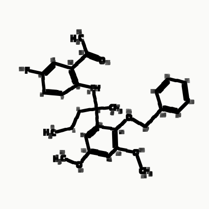 CCCC(C)(Pc1ccc(F)cc1C(C)=O)c1cc(OC)cc(OC)c1OCc1ccccc1